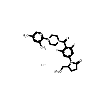 COCC1CCC(=O)N1c1cc(F)c(C(=O)N2CCN(c3ncc(C)cc3C)CC2)c(F)c1.Cl